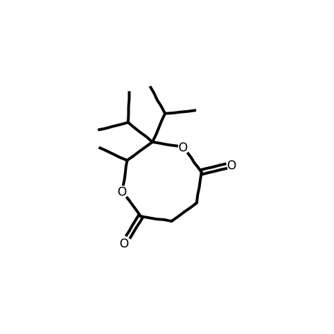 CC(C)C1(C(C)C)OC(=O)CCC(=O)OC1C